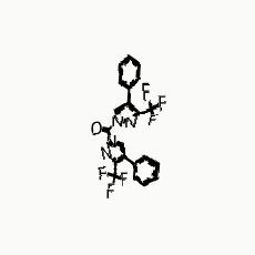 O=C(n1cc(-c2ccccc2)c(C(F)(F)F)n1)n1cc(-c2ccccc2)c(C(F)(F)F)n1